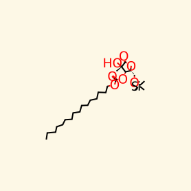 CCCCCCCCCCCCCCCCOC(=O)O[C@@H]1[C@@H](CO[Si](C)(C)C)OC(=O)[C@@]1(C)O